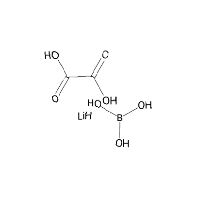 O=C(O)C(=O)O.OB(O)O.[LiH]